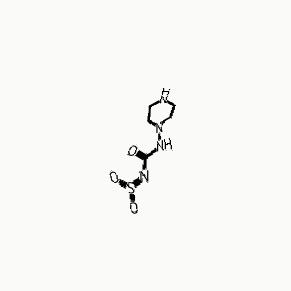 O=C(N=S(=O)=O)NN1CCNCC1